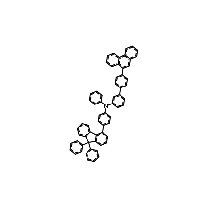 c1ccc(N(c2ccc(-c3cccc4c3-c3ccccc3C4(c3ccccc3)c3ccccc3)cc2)c2cccc(-c3ccc(-c4cc5ccccc5c5ccccc45)cc3)c2)cc1